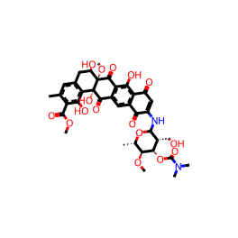 COC(=O)c1c(C)cc2c(c1O)[C@]1(O)C(=O)c3cc4c(c(O)c3C(=O)[C@]1(OC)[C@H](O)C2)C(=O)C=C(NC1O[C@@H](C)[C@H](OC)[C@@H](OC(=O)N(C)C)[C@H]1CO)C4=O